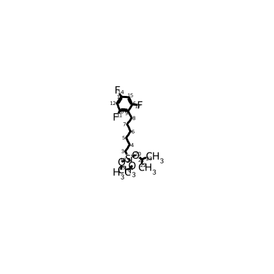 CO[Si](CCCCCCc1c(F)cc(F)cc1F)(OC)OC(C)C